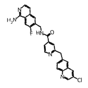 Nc1nccc2cc(CNC(=O)c3ccnc(Cc4ccc5ncc(Cl)cc5c4)c3)c(F)cc12